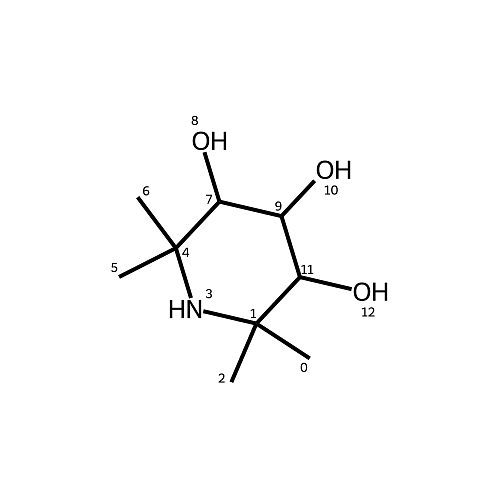 CC1(C)NC(C)(C)C(O)C(O)C1O